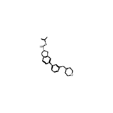 CC(C)SN[C@H]1Cc2ccc(-c3cccc(CN4CCOCC4)c3)cc2C1